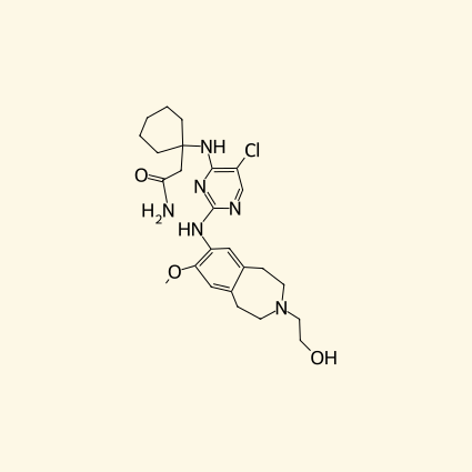 COc1cc2c(cc1Nc1ncc(Cl)c(NC3(CC(N)=O)CCCCC3)n1)CCN(CCO)CC2